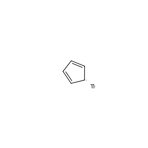 [CH]1C=CC=C1.[Tl]